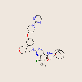 CC(F)(F)c1nc(N2CC3(CCOCC3)c3cc(OC4CCN(c5ncccn5)CC4)ccc32)ncc1C(=O)NC1(C(=O)O)C2CCC3CC(C2)CC1C3